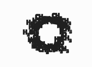 C/C=C/C[C@@H](C)[C@@H](O)[C@H]1C(=O)N[C@@H](CCC)C(=O)N(C)[C@H](CO)C(=O)N(C)[C@@H](CC(C)C)C(=O)N[C@H](C(C)C)C(=O)N(C)[C@H](CC(C)C)C(=O)N[C@H](C)C(=O)N[C@@H](C)C(=O)N(C)[C@@H](CC(C)C)C(=O)N(C)[C@@H](CC(C)C)C(=O)N(C)[C@@H](C(C)C)C(=O)N1C